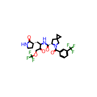 O=C(COC(F)(F)F)C(C[C@@H]1CCNC1=O)NC(=O)[C@@H]1CC2(CC2)CN1C(=O)c1cccc(C(F)(F)F)c1